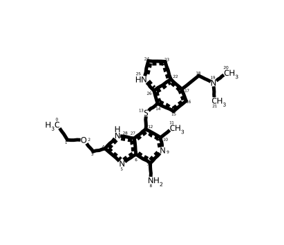 CCOCc1nc2c(N)nc(C)c(Sc3ccc(CN(C)C)c4cc[nH]c34)c2[nH]1